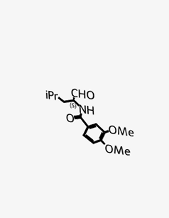 COc1ccc(C(=O)N[C@H](C=O)CC(C)C)cc1OC